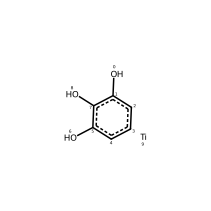 Oc1cccc(O)c1O.[Ti]